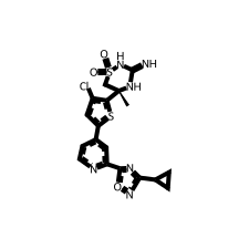 C[C@@]1(c2sc(-c3ccnc(-c4nc(C5CC5)no4)c3)cc2Cl)CS(=O)(=O)NC(=N)N1